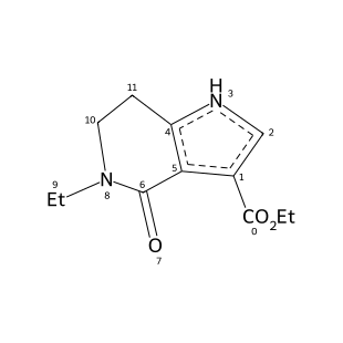 CCOC(=O)c1c[nH]c2c1C(=O)N(CC)CC2